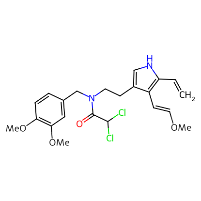 C=Cc1[nH]cc(CCN(Cc2ccc(OC)c(OC)c2)C(=O)C(Cl)Cl)c1/C=C/OC